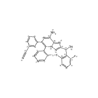 Cc1cnccc1-c1c(-c2cccc(C#N)c2)nc(N)c2nc(C(O)c3c(F)cccc3F)nn12